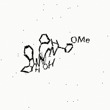 COc1cccc(CNC[C@H](O)[C@H](Cc2ccccc2)NC2c3ccccc3-c3ccccc32)c1